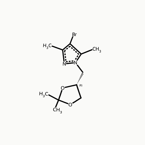 Cc1nn(C[C@@H]2COC(C)(C)O2)c(C)c1Br